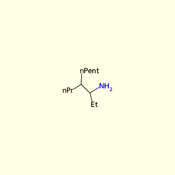 CCCCCC(CCC)C(N)CC